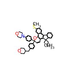 CCC1(CC)c2ccccc2-c2c1c1c(c3cc(SC)ccc23)OC(c2ccc(CC3CCOCC3)cc2)(c2ccc(N3CCOCC3)cc2)C=C1